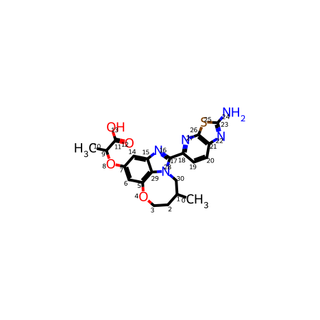 CC1CCOc2cc(OC(C)C(=O)O)cc3nc(-c4ccc5nc(N)sc5n4)n(c23)C1